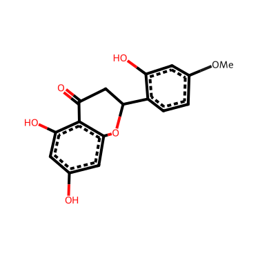 COc1ccc(C2CC(=O)c3c(O)cc(O)cc3O2)c(O)c1